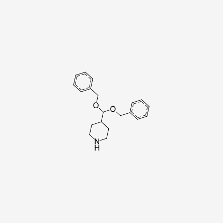 c1ccc(COC(OCc2ccccc2)C2CCNCC2)cc1